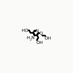 Nc1c(CCO)cnc(OCCO)c1CCO